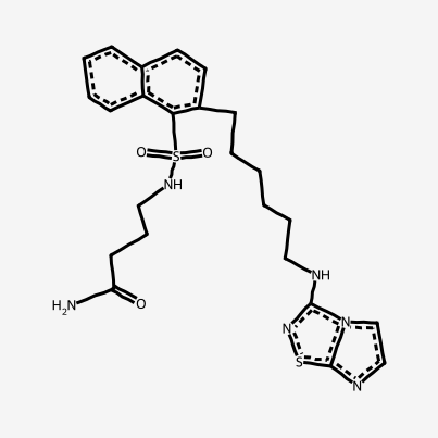 NC(=O)CCCNS(=O)(=O)c1c(CCCCCCNc2nsc3nccn23)ccc2ccccc12